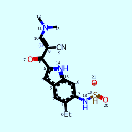 CCc1cc2cc(C(=O)/C(C#N)=C/N(C)C)[nH]c2cc1N[SH](=O)=O